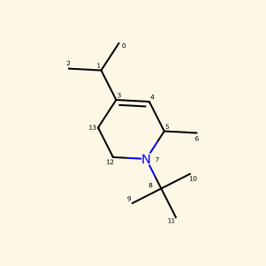 CC(C)C1=CC(C)N(C(C)(C)C)CC1